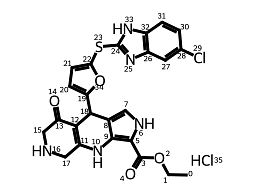 CCOC(=O)c1[nH]cc2c1NC1=C(C(=O)CNC1)C2c1ccc(Sc2nc3cc(Cl)ccc3[nH]2)o1.Cl